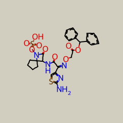 Nc1nc(/C(=N/OCC(=O)OC(c2ccccc2)c2ccccc2)C(=O)NC2C(=O)N(OS(=O)(=O)O)C23CCCC3)cs1